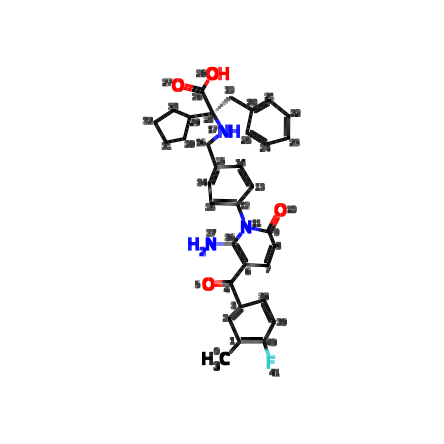 Cc1cc(C(=O)c2ccc(=O)n(-c3ccc(CN[C@](Cc4ccccc4)(C(=O)O)C4CCCC4)cc3)c2N)ccc1F